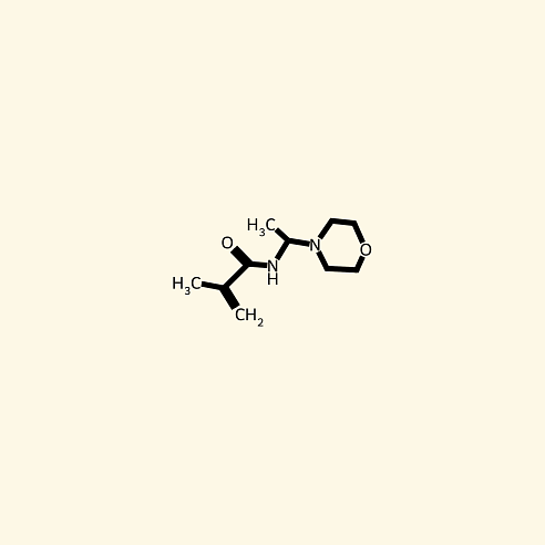 C=C(C)C(=O)NC(C)N1CCOCC1